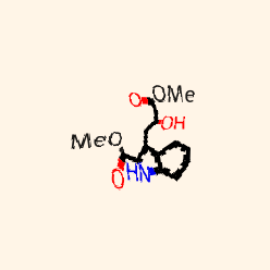 COC(=O)c1[nH]c2ccccc2c1CC(O)C(=O)OC